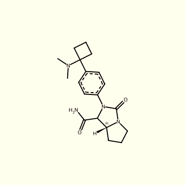 CN(C)C1(c2ccc(N3C(=O)N4CC[CH][C@@H]4C3C(N)=O)cc2)CCC1